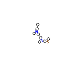 C1=CC2Sc3ccc(-n4c5c(c6ccccc64)CC(C4=CC=C6C(C4)c4ccccc4N6c4ccc(-c6ccccc6)cc4)C=C5)cc3C2C=C1